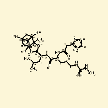 CNC(=N)NCCC[C@H](NC(=O)Cc1nnn[nH]1)C(=O)N[C@@H](CC(C)C)B1O[C@@H]2C[C@@H]3C[C@@H](C3(C)C)[C@]2(C)O1